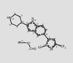 CC(C)(C)OC=O.CCn1nc(C(F)(F)F)cc1-c1ccc2[nH]c(C3CCNCC3)cc2c1